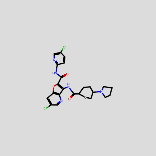 O=C(Nc1ccc(Cl)cn1)c1oc2cc(Cl)cnc2c1NC(=O)C1CCC(N2CCCC2)CC1